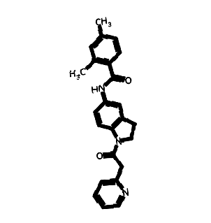 Cc1ccc(C(=O)Nc2ccc3c(c2)CCN3C(=O)Cc2ccccn2)c(C)c1